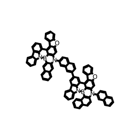 c1ccc2cc(N3c4cc5oc6ccccc6c5c5c4B(c4c3ccc3ccccc43)n3c4ccccc4c4cc(-c6ccc7ccc(N8c9cc%10ccccc%10cc9B9c%10c8cc8oc%11ccccc%11c8c%10-c8cccc%10c%11ccccc%11n9c8%10)cc7c6)cc-5c43)ccc2c1